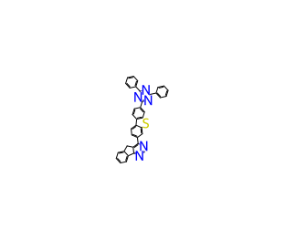 c1ccc(-c2nc(-c3ccccc3)nc(-c3ccc4c(c3)sc3cc(-c5ncnc6c5Cc5ccccc5-6)ccc34)n2)cc1